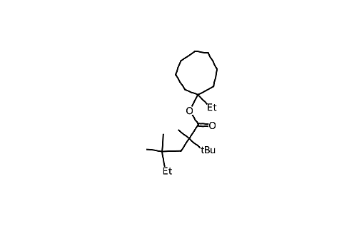 CCC(C)(C)CC(C)(C(=O)OC1(CC)CCCCCCC1)C(C)(C)C